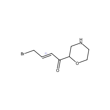 O=C(/C=C/CBr)C1CNCCO1